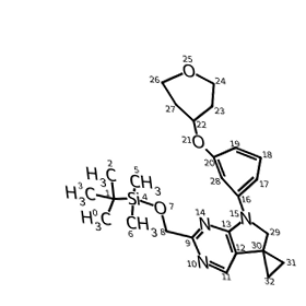 CC(C)(C)[Si](C)(C)OCc1ncc2c(n1)N(c1cccc(OC3CCOCC3)c1)CC21CC1